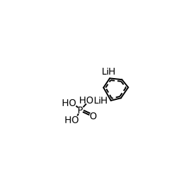 O=P(O)(O)O.[LiH].[LiH].c1ccccc1